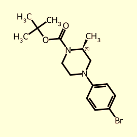 C[C@H]1CN(c2ccc(Br)cc2)CCN1C(=O)OC(C)(C)C